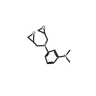 CN(C)c1cccc(N(CC2CO2)CC2CO2)c1